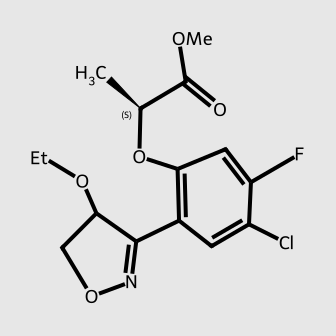 CCOC1CON=C1c1cc(Cl)c(F)cc1O[C@@H](C)C(=O)OC